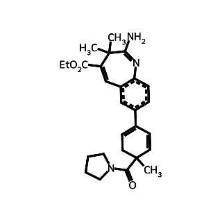 CCOC(=O)C1=Cc2cc(C3=CCC(C)(C(=O)N4CCCC4)C=C3)ccc2N=C(N)C1(C)C